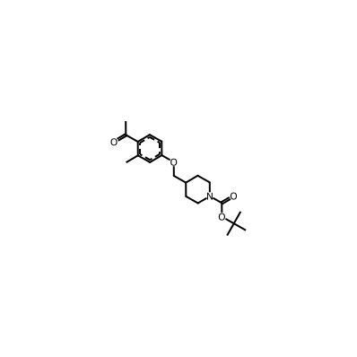 CC(=O)c1ccc(OCC2CCN(C(=O)OC(C)(C)C)CC2)cc1C